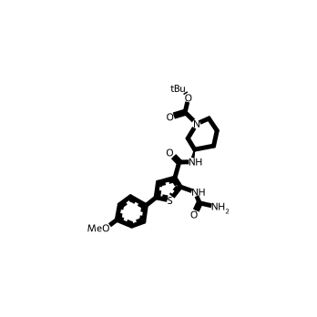 COc1ccc(-c2cc(C(=O)N[C@@H]3CCCN(C(=O)OC(C)(C)C)C3)c(NC(N)=O)s2)cc1